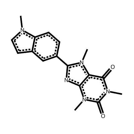 Cn1c(=O)c2c(nc(-c3ccc4c(ccn4C)c3)n2C)n(C)c1=O